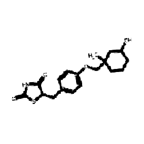 CC1(COc2ccc(CC3SC(=O)NC3=O)cc2)CCCC(O)C1